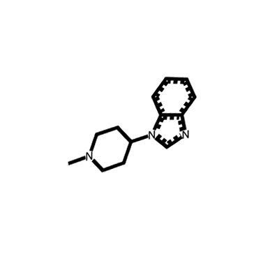 CN1CCC(n2cnc3ccccc32)CC1